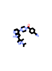 Cc1c(-c2cc3c(N4CCN(C(=O)C5CCC(C#N)CC5)CC4)ccnc3[nH]2)cnn1C(C)C